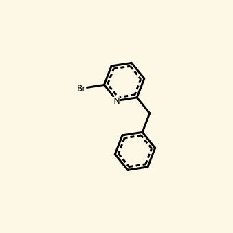 Brc1cccc(Cc2ccccc2)n1